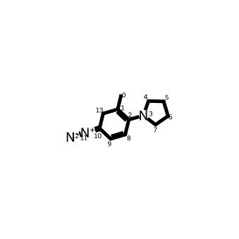 CC1=C(N2CCCC2)C=CC(=[N+]=[N-])C1